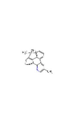 Cc1cnc2c(c1)c1cccc3c1c1c(cccc21)C3(C)C